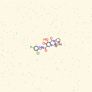 O=C(NCc1ccc(F)cc1Cl)c1cn2c(c(O)c1=O)C(=O)N1C3CC[C@H](C3)O[C@@H]1C2